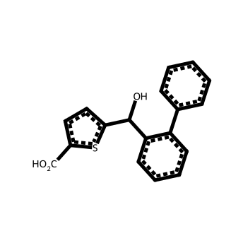 O=C(O)c1ccc(C(O)c2ccccc2-c2ccccc2)s1